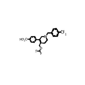 O=C(O)c1ccc(C2=C(COC(F)F)CCN(Cc3ccc(C(F)(F)F)cc3)C2)cc1